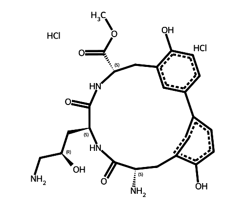 COC(=O)[C@@H]1Cc2cc(ccc2O)-c2ccc(O)c(c2)C[C@H](N)C(=O)N[C@@H](C[C@@H](O)CN)C(=O)N1.Cl.Cl